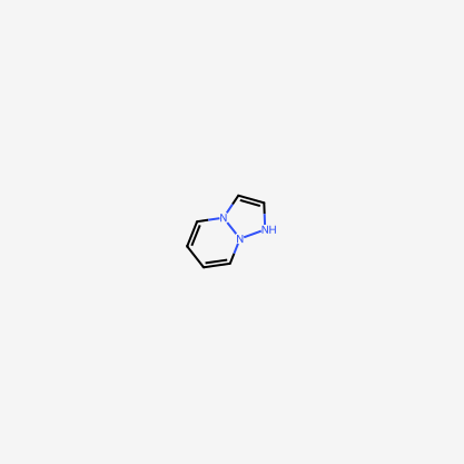 C1=CN2C=CNN2C=C1